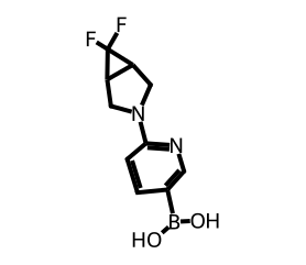 OB(O)c1ccc(N2CC3C(C2)C3(F)F)nc1